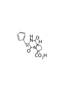 O=C1N[C@H](Cc2ccccc2)C(=O)N2[C@@H]1CC[C@H]2C(=O)O